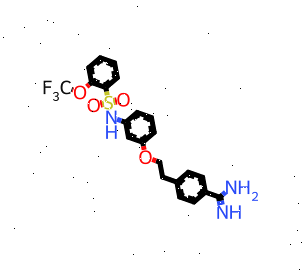 N=C(N)c1ccc(CCOc2cccc(NS(=O)(=O)c3ccccc3OC(F)(F)F)c2)cc1